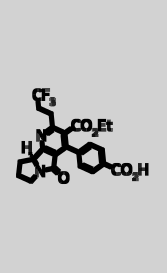 CCOC(=O)c1c(CCC(F)(F)F)nc2c(c1-c1ccc(C(=O)O)cc1)C(=O)N1CCC[C@@H]21